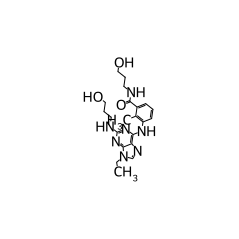 CCn1cnc2c(Nc3cccc(C(=O)NCCCO)c3C)nc(NCCCO)nc21